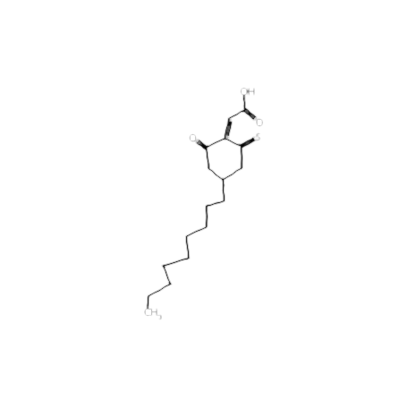 CCCCCCCCCC1CC(=O)/C(=C/C(=O)O)C(=S)C1